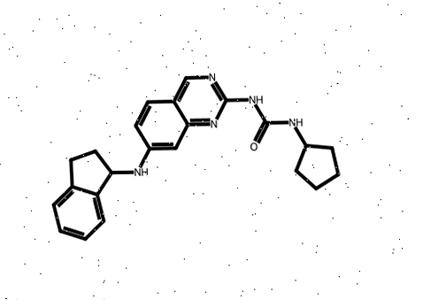 O=C(Nc1ncc2ccc(NC3CCc4ccccc43)cc2n1)NC1CCCC1